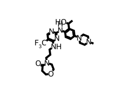 CC(O)c1cc(N2CCN(C)CC2)ccc1Nc1ncc(C(F)(F)F)c(NCCCN2CCOCCC2=O)n1